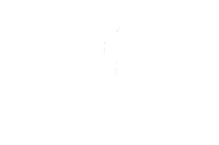 FCc1[c][c][c]cc1